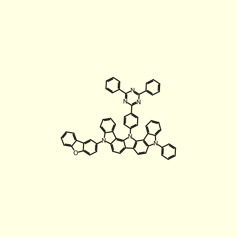 c1ccc(-c2nc(-c3ccccc3)nc(-c3ccc(-n4c5c(ccc6c5c5ccccc5n6-c5ccccc5)c5ccc6c(c7ccccc7n6-c6ccc7oc8ccccc8c7c6)c54)cc3)n2)cc1